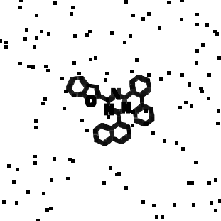 c1ccc(-c2ccccc2-c2nc(-c3cc4ccccc4o3)nc(-c3cccc4ccccc34)n2)cc1